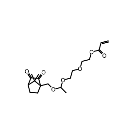 C=CC(=O)OCCOCCOC(C)OCC12CCC(C(=O)C1=O)C2(C)C